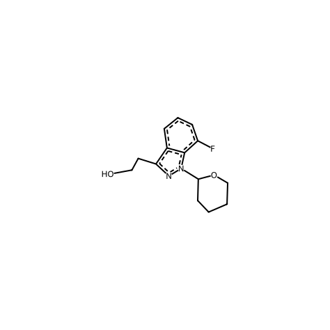 OCCc1nn(C2CCCCO2)c2c(F)cccc12